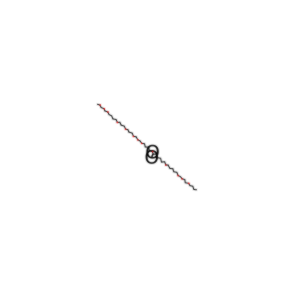 CCCCCCCCCCCCCCCCCCCCCCCCCCCOC(=O)CCCCCCCCCCCCCCCCCCCCC